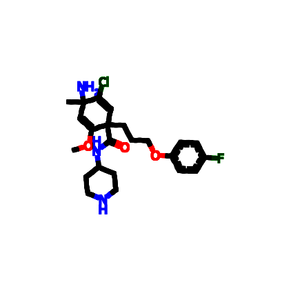 COC1=CC(C)(N)C(Cl)=CC1(CCCOc1ccc(F)cc1)C(=O)NC1CCNCC1